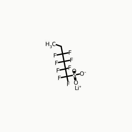 CCC(F)(F)C(F)(F)C(F)(F)C(F)(F)S(=O)(=O)[O-].[Li+]